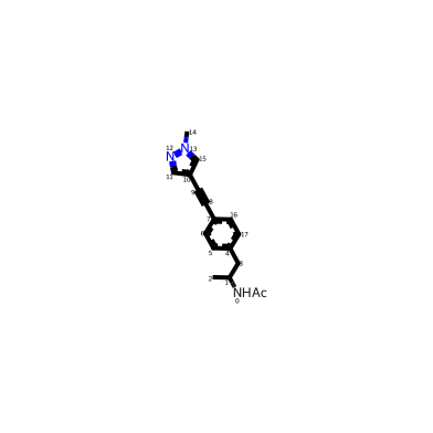 CC(=O)NC(C)Cc1ccc(C#Cc2cnn(C)c2)cc1